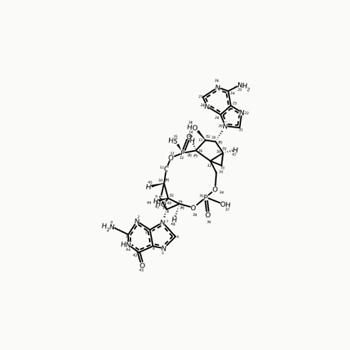 Nc1nc2c(ncn2[C@@H]2S[C@@H]3CO[P@@](=O)(S)[C@H]4[C@@H](O)[C@H](n5cnc6c(N)ncnc65)[C@H]5CC54COP(=O)(O)O[C@@H]2[C@@H]3O)c(=O)[nH]1